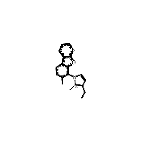 CCC1C=CN(c2c(C)ccc3c2oc2ncccc23)[C@H]1C